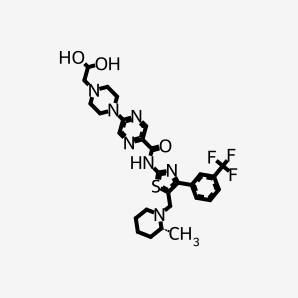 C[C@@H]1CCCCN1Cc1sc(NC(=O)c2cnc(N3CCN(CC(O)O)CC3)cn2)nc1-c1cccc(C(F)(F)F)c1